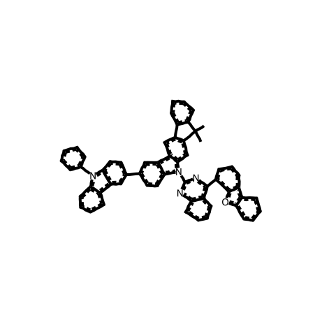 CC1(C)c2ccccc2-c2cc3c4cc(-c5ccc6c(c5)c5ccccc5n6-c5ccccc5)ccc4n(-c4nc(-c5cccc6c5oc5ccccc56)c5ccccc5n4)c3cc21